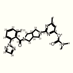 Cc1cc(OC(=O)N(C)C)nc(N2CC3CN(C(=O)c4c(F)cccc4-n4nccn4)CC3C2)n1